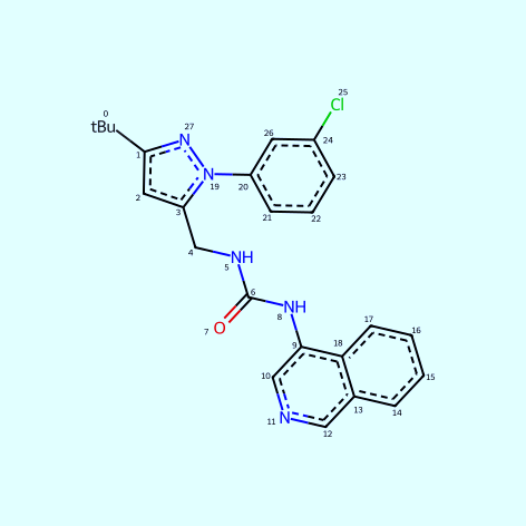 CC(C)(C)c1cc(CNC(=O)Nc2cncc3ccccc23)n(-c2cccc(Cl)c2)n1